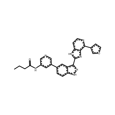 CCCC(=O)Nc1cncc(-c2ccc3[nH]nc(-c4nc5c(-c6ccoc6)nccc5[nH]4)c3c2)c1